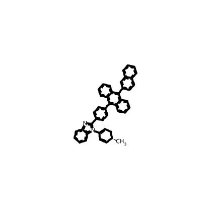 C[C@@H]1C=CC(n2c(-c3ccc(-c4c5ccccc5c(-c5ccc6ccccc6c5)c5ccccc45)cc3)nc3ccccc32)=CC1